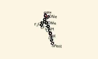 CCCCC[C@H]1CC[C@H](c2ccc(C(=O)Nc3ccc(C(=O)Nc4ccc(-c5cc6c7c(c8c(c6cc5OC)OC(c5ccc(OC)cc5)(c5ccc(OC)cc5)C=C8)C(C)(C)c5c-7cc(C(F)(F)F)cc5C(F)(F)F)c(C)c4)cc3)cc2)CC1